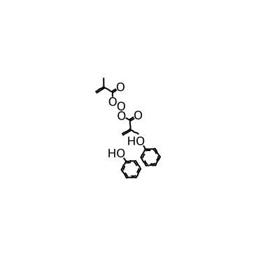 C=C(C)C(=O)OOOC(=O)C(=C)C.Oc1ccccc1.Oc1ccccc1